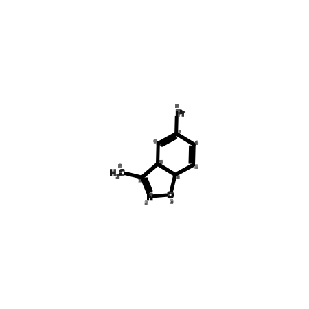 CC1=NOC2C=CC(C(C)C)=CC12